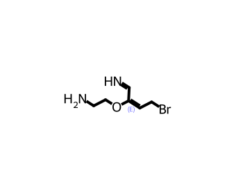 N=C/C(=C\CBr)OCCN